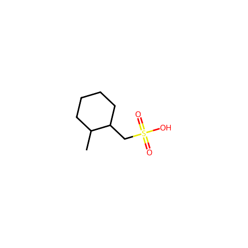 CC1CCCCC1CS(=O)(=O)O